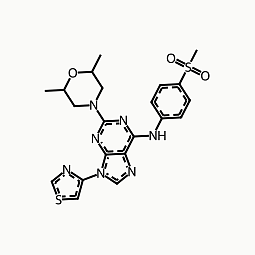 CC1CN(c2nc(Nc3ccc(S(C)(=O)=O)cc3)c3ncn(-c4cscn4)c3n2)CC(C)O1